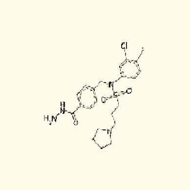 NNC(=O)c1ccc(CN(c2ccc(F)c(Cl)c2)S(=O)(=O)CCCN2CCCC2)cc1